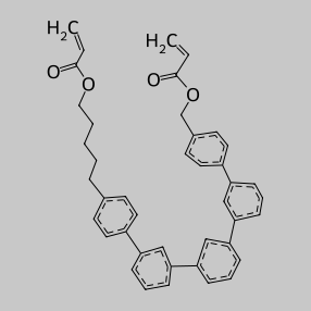 C=CC(=O)OCCCCCc1ccc(-c2cccc(-c3cccc(-c4cccc(-c5ccc(COC(=O)C=C)cc5)c4)c3)c2)cc1